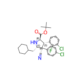 CC(C)(C)OC(=O)[C@@H]1N[C@@H](CC2CCCCC2)[C@](C#N)(c2ccc(Cl)cc2)[C@H]1c1cccc(Cl)c1F